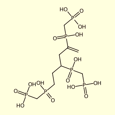 C=C(CC(CCP(=O)(O)CP(=O)(O)O)P(=O)(O)CP(=O)(O)O)P(=O)(O)CP(=O)(O)O